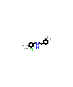 FC(F)(F)c1cccc(CCNCc2ccc(C(F)(F)F)c(Cl)c2)c1